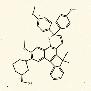 COc1ccc(C2(c3ccc(OC)cc3)C=Cc3c4c(c5cc(N6CCC/C(=C/O)C6)c(OC)cc5c3O2)-c2ccccc2C4(C)C)cc1